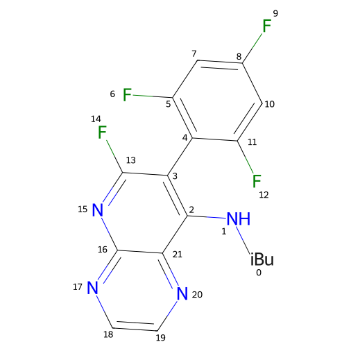 CCC(C)Nc1c(-c2c(F)cc(F)cc2F)c(F)nc2nccnc12